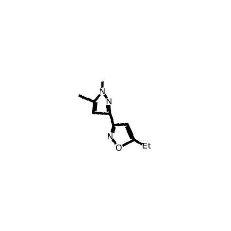 CCc1cc(-c2cc(C)n(C)n2)no1